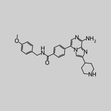 COc1ccc(CNC(=O)c2ccc(-c3cnc(N)c4nc(C5CCNCC5)cn34)cc2)cc1